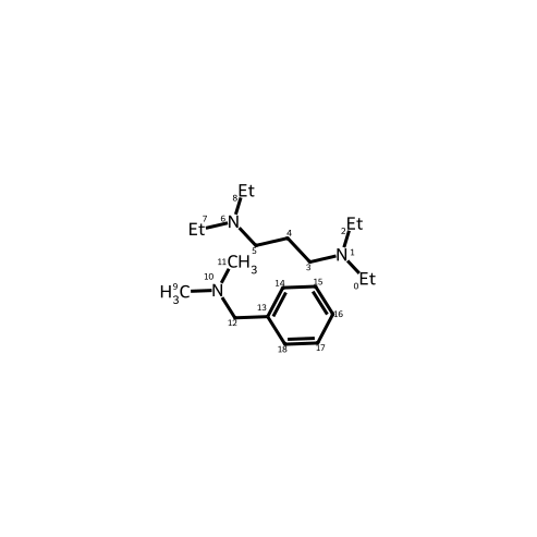 CCN(CC)CCCN(CC)CC.CN(C)Cc1ccccc1